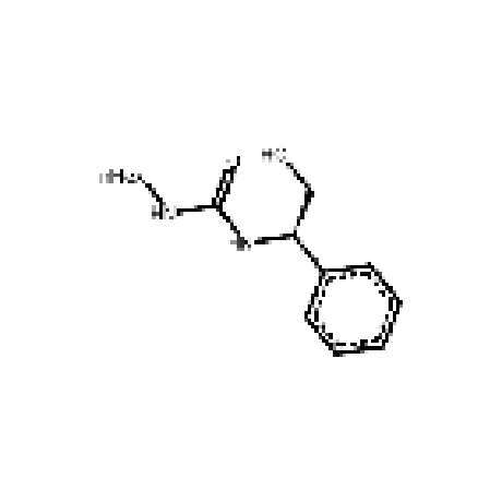 CCCCCCNC(=O)N[C@@H](CO)c1ccccc1